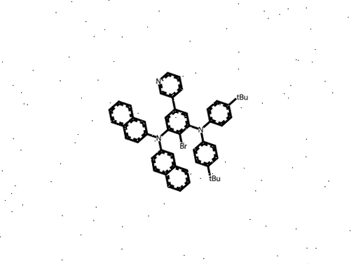 CC(C)(C)c1ccc(N(c2ccc(C(C)(C)C)cc2)c2cc(-c3cccnc3)cc(N(c3ccc4ccccc4c3)c3ccc4ccccc4c3)c2Br)cc1